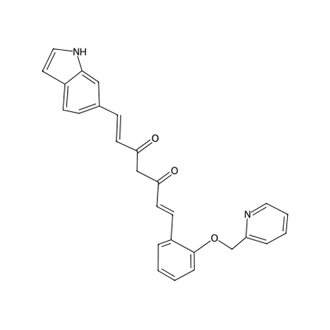 O=C(C=Cc1ccc2cc[nH]c2c1)CC(=O)C=Cc1ccccc1OCc1ccccn1